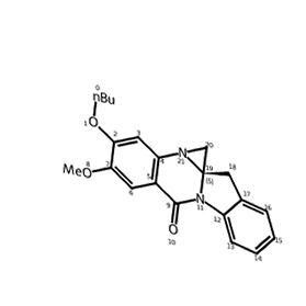 CCCCOc1cc2c(cc1OC)C(=O)N1c3ccccc3C[C@@]13CN23